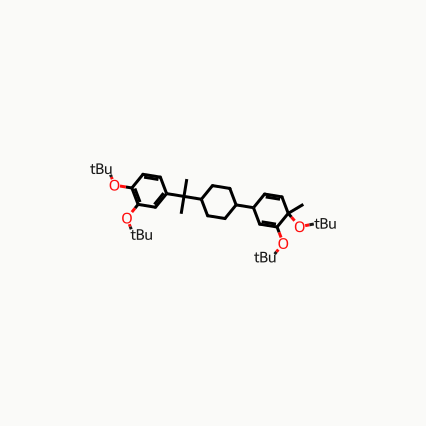 CC(C)(C)OC1=CC(C2CCC(C(C)(C)c3ccc(OC(C)(C)C)c(OC(C)(C)C)c3)CC2)C=CC1(C)OC(C)(C)C